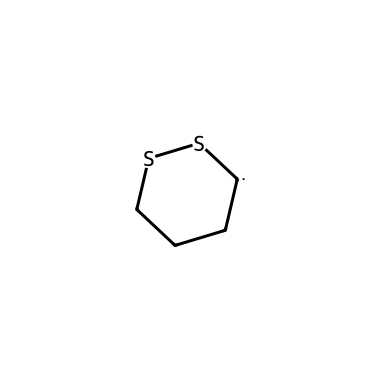 [CH]1CCCSS1